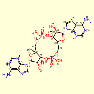 Nc1ncnc2c1ncn2[C@@H]1O[C@@H]2COP(=O)(O)O[C@@H]3C(COP(=O)(O)O[C@H]2[C@H]1O)O[C@@H](n1cnc2c(N)ncnc21)[C@@H]3O